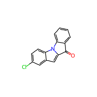 O=C1c2ccccc2-n2c1cc1cc(Cl)ccc12